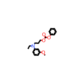 CCN(CCCOC(=O)Oc1ccccc1)c1cccc(OC)c1